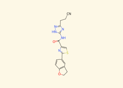 N#CCCc1n[nH]c(NC(=O)c2csc(-c3ccc4c(c3)CCO4)n2)n1